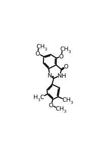 COc1cc(OC)c2c(=O)[nH]c(-c3cc(C)c(OC)c(C)c3)nc2c1